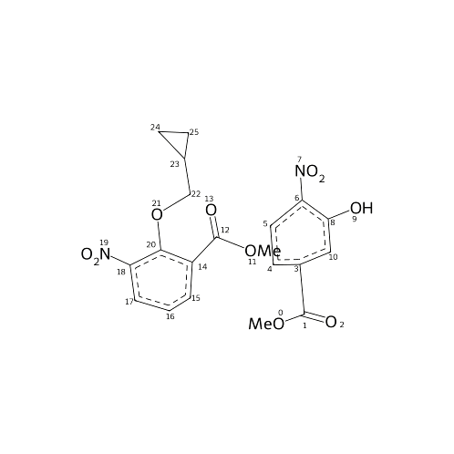 COC(=O)c1ccc([N+](=O)[O-])c(O)c1.COC(=O)c1cccc([N+](=O)[O-])c1OCC1CC1